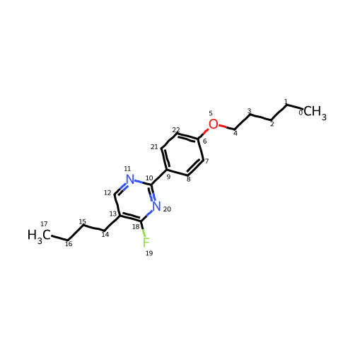 CCCCCOc1ccc(-c2ncc(CCCC)c(F)n2)cc1